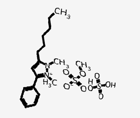 CCCCCCc1cc(-c2ccccc2)[n+](C)n1C.COS(=O)(=O)[O-].O=S(=O)(O)O